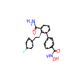 NC(=O)c1cccc(-c2ccc(C(=O)NO)cc2)c1CCc1ccc(F)cc1